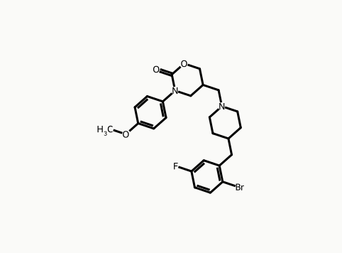 COc1ccc(N2CC(CN3CCC(Cc4cc(F)ccc4Br)CC3)COC2=O)cc1